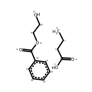 CCCC(=O)O.O=C(OCCO)c1ccccc1